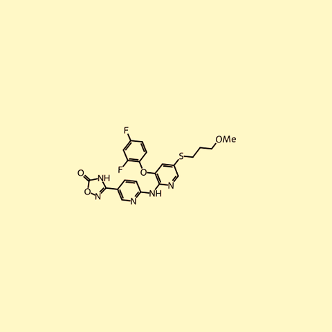 COCCCSc1cnc(Nc2ccc(-c3noc(=O)[nH]3)cn2)c(Oc2ccc(F)cc2F)c1